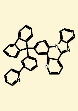 c1ccc(-c2cccc(C3(c4ccc5c(c4)c4ncccc4c4nc6ccccc6n54)c4ccccc4-c4ccccc43)c2)nc1